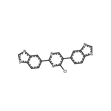 Clc1nc(-c2ccc3scnc3c2)ncc1-c1ccc2scnc2c1